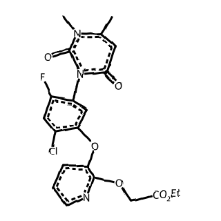 CCOC(=O)COc1ncccc1Oc1cc(-n2c(=O)cc(C)n(C)c2=O)c(F)cc1Cl